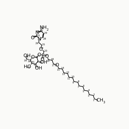 CCCCCCCCCCCCCCCCOCCCOP(=O)(COCCn1ccc(N)nc1=O)OC1O[C@H](CO)[C@H](O)[C@H](O)[C@H]1O